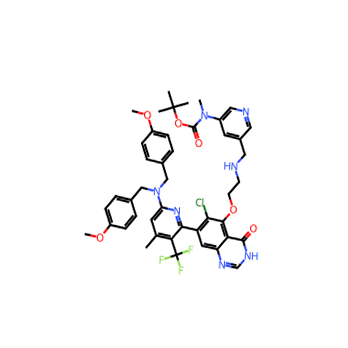 COc1ccc(CN(Cc2ccc(OC)cc2)c2cc(C)c(C(F)(F)F)c(-c3cc4nc[nH]c(=O)c4c(OCCNCc4cncc(N(C)C(=O)OC(C)(C)C)c4)c3Cl)n2)cc1